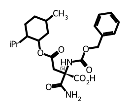 CC1CCC(C(C)C)C(OC(=O)C[C@](NC(=O)OCc2ccccc2)(C(N)=O)C(=O)O)C1